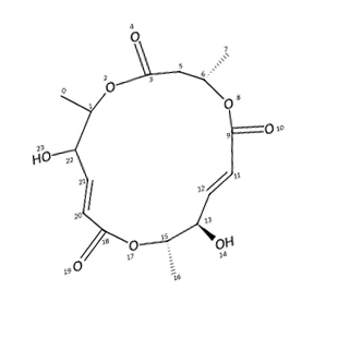 CC1OC(=O)C[C@H](C)OC(=O)/C=C/[C@@H](O)[C@H](C)OC(=O)/C=C/C1O